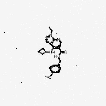 CCn1ncc2c(NC3CCC3)c(C(=O)NCc3ccc(OC)cc3)cnc21